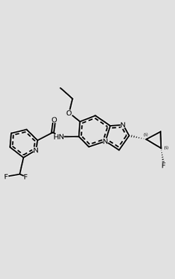 CCOc1cc2nc([C@@H]3C[C@@H]3F)cn2cc1NC(=O)c1cccc(C(F)F)n1